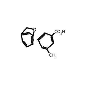 Cc1cccc(C(=O)O)c1.c1cc2cc(c1)OC2